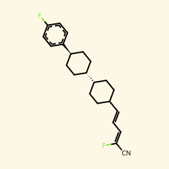 N#C/C(F)=C/C=C/C1CCC([C@H]2CC[C@H](c3ccc(F)cc3)CC2)CC1